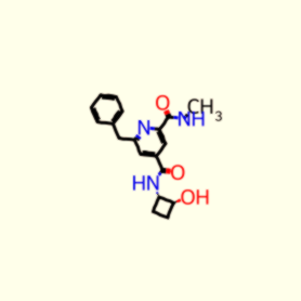 CNC(=O)c1cc(C(=O)N[C@H]2CC[C@@H]2O)cc(Cc2ccccc2)n1